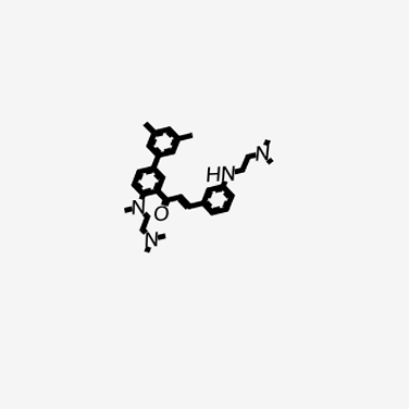 Cc1cc(C)cc(-c2ccc(N(C)CCN(C)C)c(C(=O)/C=C/c3cccc(NCCN(C)C)c3)c2)c1